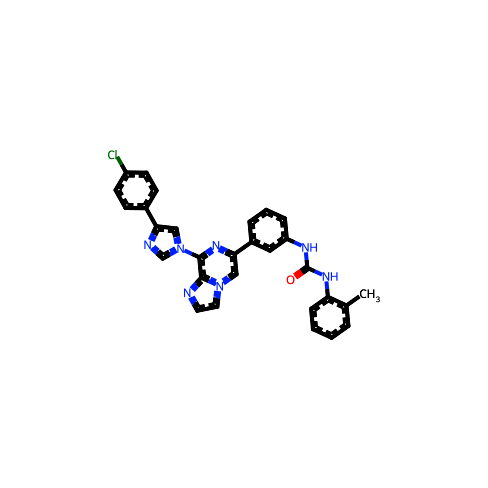 Cc1ccccc1NC(=O)Nc1cccc(-c2cn3ccnc3c(-n3cnc(-c4ccc(Cl)cc4)c3)n2)c1